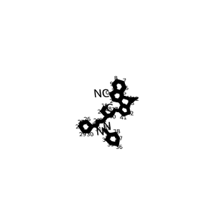 N#Cc1cc2c(c3ccccc13)C1CC1C1=C2C(c2cccc(-c3cc(-c4ccccc4)nc(-c4ccccc4)n3)c2)=CC1